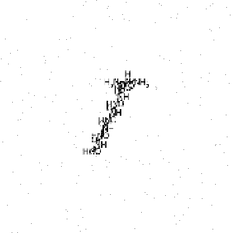 NCC(=O)N[C@@H](CC(N)=O)C(=O)NCC(=O)NCC(=O)NCC(=O)NCC(=O)NCC(=O)NCC(=O)NCC(=O)NCC(=O)O